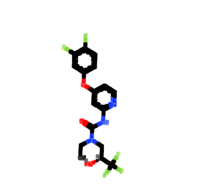 CCN(C[C@@H](O)C(F)(F)F)C(=O)Nc1cc(Oc2ccc(F)c(F)c2)ccn1